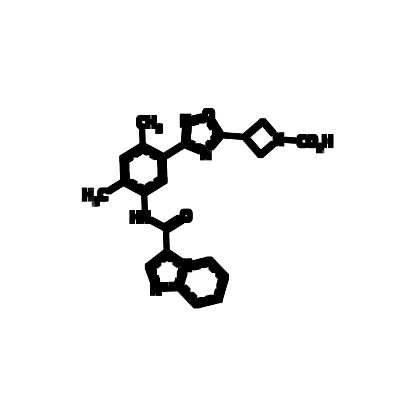 Cc1cc(C)c(-c2noc(C3CN(C(=O)O)C3)n2)cc1NC(=O)c1cnc2ccccn12